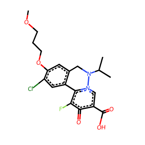 COCCCOc1cc2c(cc1Cl)-c1c(F)c(=O)c(C(=O)O)cn1N(C(C)C)C2